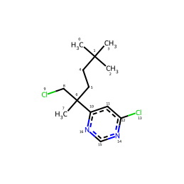 CC(C)(C)CCC(C)(CCl)c1cc(Cl)ncn1